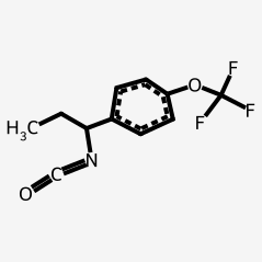 CCC(N=C=O)c1ccc(OC(F)(F)F)cc1